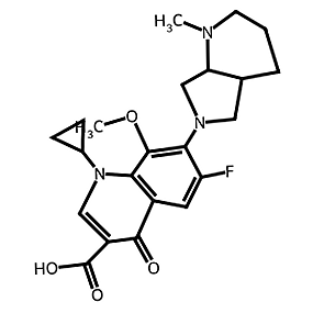 COc1c(N2CC3CCCN(C)C3C2)c(F)cc2c(=O)c(C(=O)O)cn(C3CC3)c12